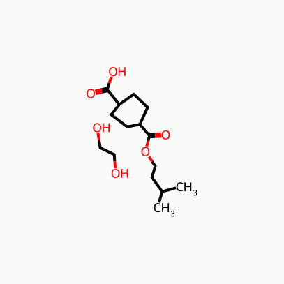 CC(C)CCOC(=O)C1CCC(C(=O)O)CC1.OCCO